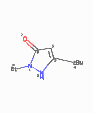 CCn1[nH]c(C(C)(C)C)cc1=O